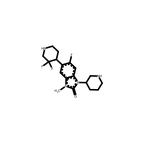 Cn1c(=O)n(C2CCCNC2)c2cc(F)c(C3CCNCC3(F)F)cc21